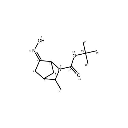 CC1C2CC(=NO)C(C2)N1C(=O)OC(C)(C)C